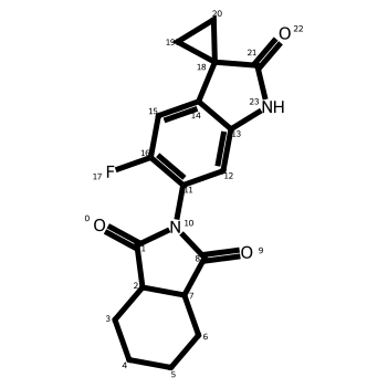 O=C1C2CCCCC2C(=O)N1c1cc2c(cc1F)C1(CC1)C(=O)N2